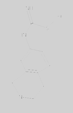 CCSC(=N)Nc1ccc2c(c1)CN(C)CC2